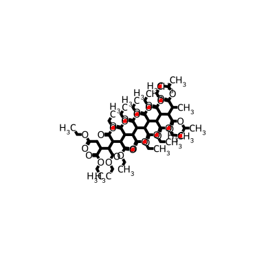 CCOC(=O)CC(C(=O)OCC)C(C(=O)OCC)C(C(=O)OCC)C(C(=O)OCC)C(C(=O)OCC)C(C(=O)OCC)C(C(=O)OCC)C(C(=O)OCC)C(C(=O)OCC)C(C(=O)OCC)C(C(=O)OCC)C(C(=O)OC(C)C)C(C)C(=O)OC(C)C